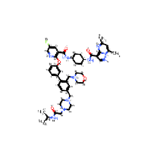 Cc1cc(C)n2ncc(C(=O)N[C@H]3CC[C@H](NC(=O)c4cc(F)cnc4Oc4cccc(-c5ccc(CN6CCN(CC(=O)NC(C)C)CC6)cc5CN5CCOCC5)c4)CC3)c2n1